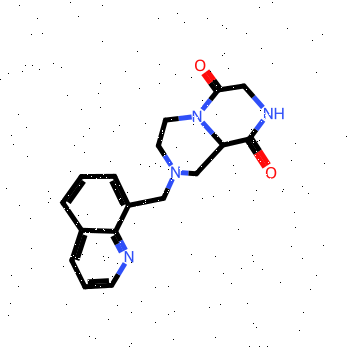 O=C1NCC(=O)N2CCN(Cc3cccc4cccnc34)CC12